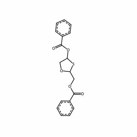 O=C(OCC1OCC(OC(=O)c2ccccc2)S1)c1ccccc1